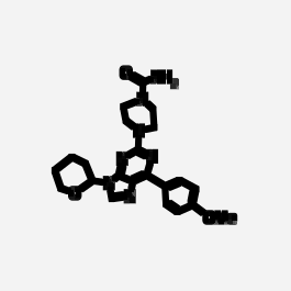 COc1ccc(-c2nc(N3CCN(C(N)=O)CC3)nc3c2ncn3C2CCCCO2)cc1